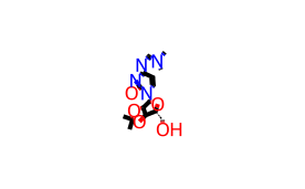 CN(C)/C=N\c1ccn([C@@H]2O[C@H](CO)C3OC(C)(C)OC32)c(=O)n1